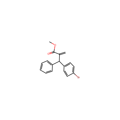 C=C(C(=O)OC)C(c1ccccc1)c1ccc(Br)cc1